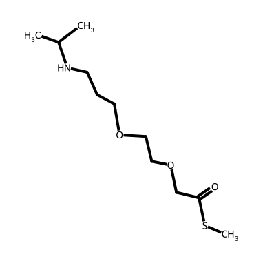 CSC(=O)COCCOCCCNC(C)C